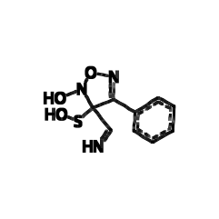 N=CC1(SO)C(c2ccccc2)=NON1O